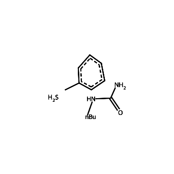 CCCCNC(N)=O.Cc1ccccc1.S